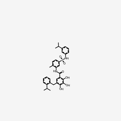 Cc1ccc(S(=O)(=O)Nc2cccc(C(C)C)c2)cc1NC(=O)c1cc(Cc2ccccc2C(C)C)c(O)c(O)c1O